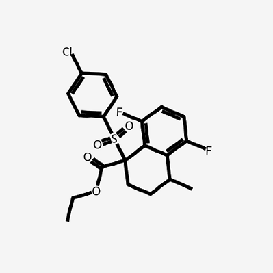 CCOC(=O)C1(S(=O)(=O)c2ccc(Cl)cc2)CCC(C)c2c(F)ccc(F)c21